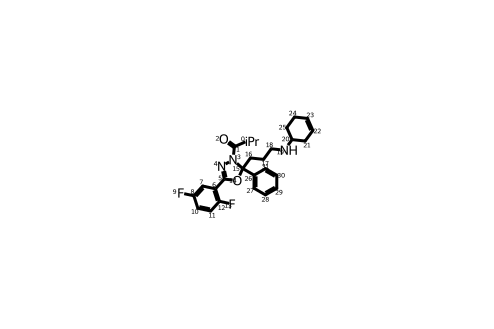 CC(C)C(=O)N1N=C(c2cc(F)ccc2F)OC1(CCCNC1CC=CCC1)c1ccccc1